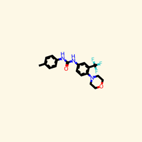 Cc1ccc(NC(=O)Nc2ccc(N3CCOCC3)c(C(F)(F)F)c2)cc1